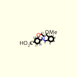 COCc1ccccc1CN1CCOc2cc(C(=O)O)ccc21